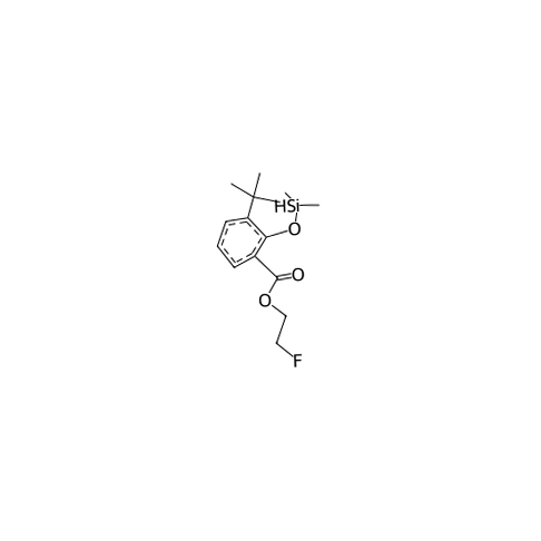 C[SiH](C)Oc1c(C(=O)OCCF)cccc1C(C)(C)C